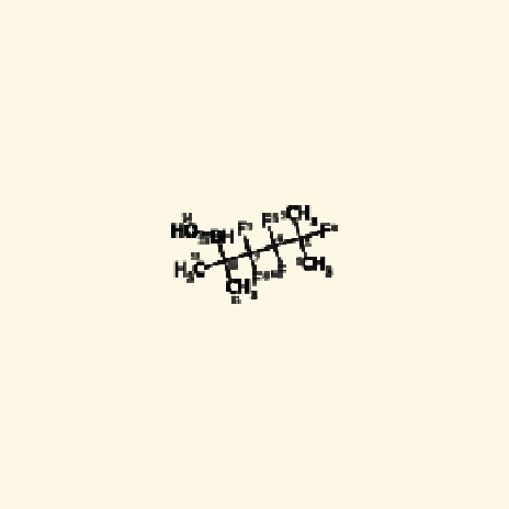 CC(C)(F)C(F)(F)C(F)(F)C(C)(C)BO